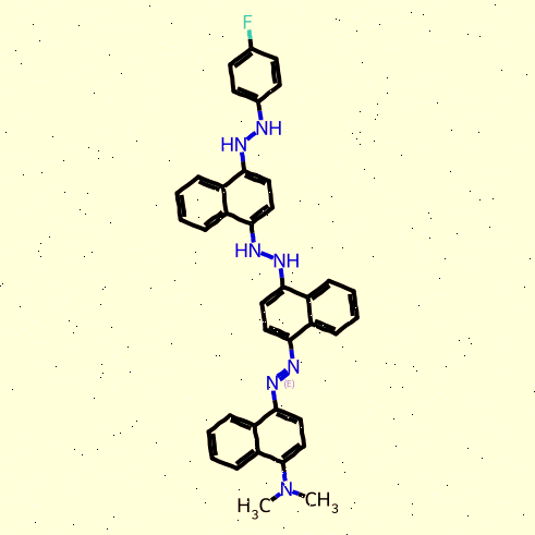 CN(C)c1ccc(/N=N/c2ccc(NNc3ccc(NNc4ccc(F)cc4)c4ccccc34)c3ccccc23)c2ccccc12